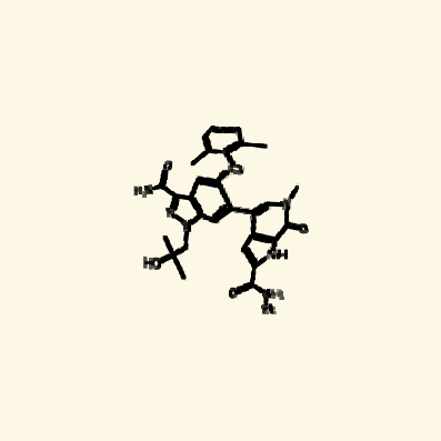 CCNC(=O)c1cc2c(-c3cc4c(cc3Oc3c(C)cccc3C)c(C(N)=O)nn4CC(C)(C)O)cn(C)c(=O)c2[nH]1